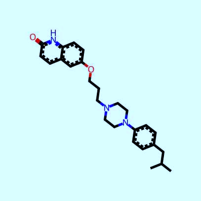 CC(C)Cc1ccc(N2CCN(CCCOc3ccc4[nH]c(=O)ccc4c3)CC2)cc1